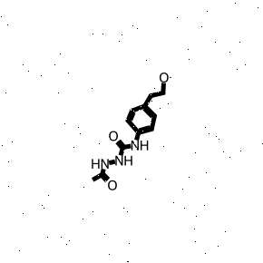 CC(=O)NNC(=O)Nc1ccc(CC[O])cc1